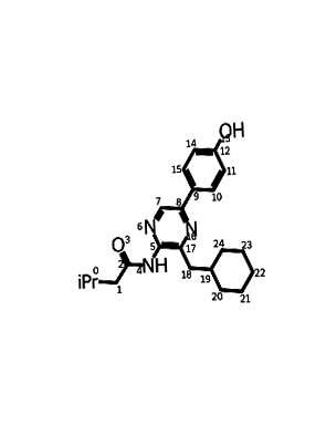 CC(C)CC(=O)Nc1ncc(-c2ccc(O)cc2)nc1CC1CCCCC1